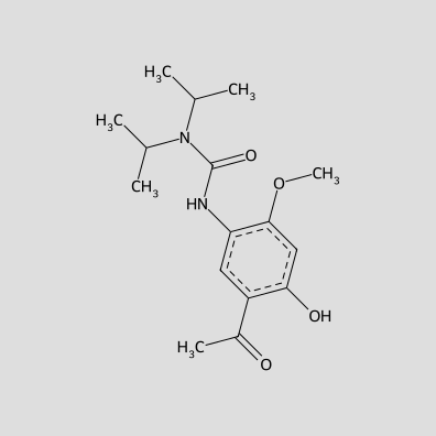 COc1cc(O)c(C(C)=O)cc1NC(=O)N(C(C)C)C(C)C